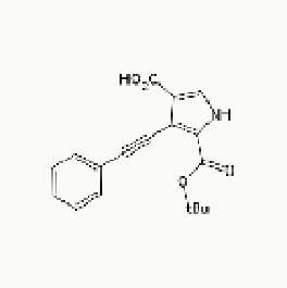 CC(C)(C)OC(=O)c1[nH]cc(C(=O)O)c1C#Cc1ccccc1